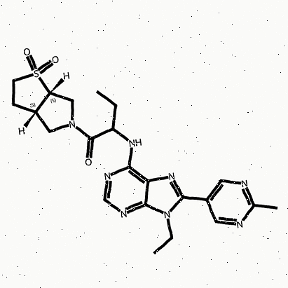 CCC(Nc1ncnc2c1nc(-c1cnc(C)nc1)n2CC)C(=O)N1C[C@@H]2CCS(=O)(=O)[C@@H]2C1